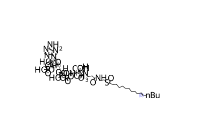 CCCC/C=C/CCCCCCCCCC(=O)SCCNC(=O)CCNC(=O)[C@H](O)C(C)(C)COP(=O)(O)OP(=O)(O)OC[C@H]1O[C@@H](n2cnc3c(N)ncnc32)[C@H](O)[C@@H]1OP(=O)(O)O